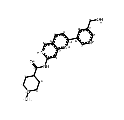 CN1CCC(C(=O)Nc2cc3nc(-c4cncc(CO)c4)ccc3cn2)CC1